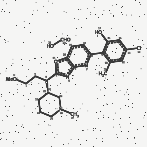 COCCN(c1nc2nc(-c3c(C)cc(Cl)cc3O)ccc2o1)[C@@H]1CCCN(C)C1.O=CO